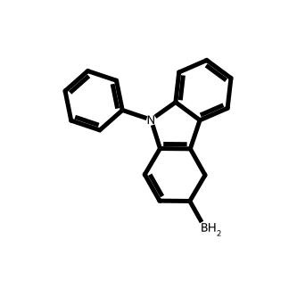 BC1C=Cc2c(c3ccccc3n2-c2ccccc2)C1